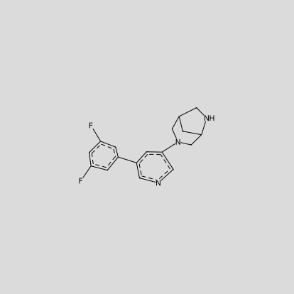 Fc1cc(F)cc(-c2cncc(N3CC4CNC(C4)C3)c2)c1